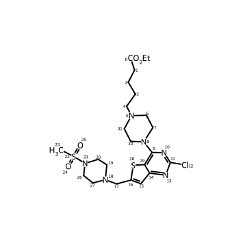 CCOC(=O)CCCCN1CCN(c2nc(Cl)nc3cc(CN4CCN(S(C)(=O)=O)CC4)sc23)CC1